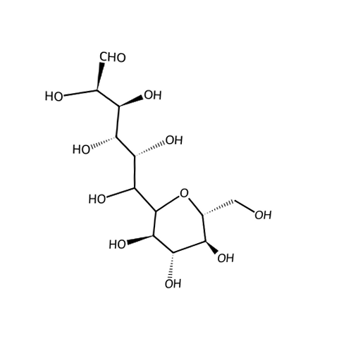 O=C[C@H](O)[C@@H](O)[C@@H](O)[C@H](O)C(O)C1O[C@H](CO)[C@@H](O)[C@H](O)[C@H]1O